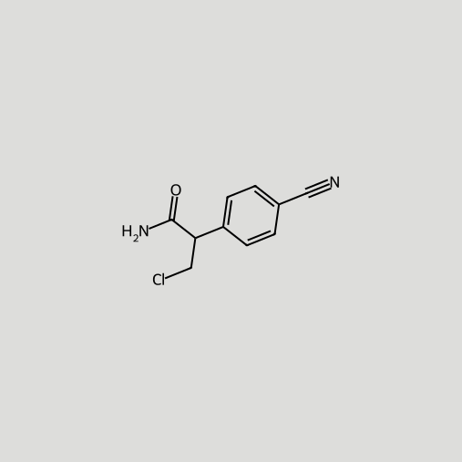 N#Cc1ccc(C(CCl)C(N)=O)cc1